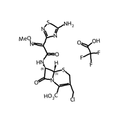 CON=C(C(=O)N[C@@H]1C(=O)N2C(C(=O)O)=C(CCl)CS[C@@H]12)c1nsc(N)n1.O=C(O)C(F)(F)F